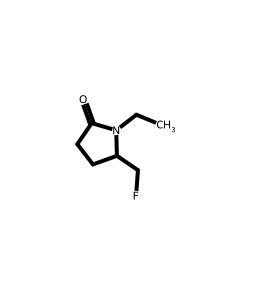 CCN1C(=O)CCC1CF